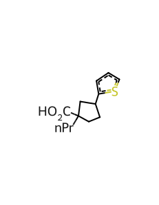 CCCC1(C(=O)O)CCC(c2cccs2)C1